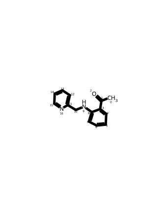 CC(=O)c1ccccc1NCc1ccccn1